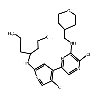 CCCC(CCC)Nc1cc(-c2cnc(Cl)c(NCC3CCOCC3)n2)c(Cl)cn1